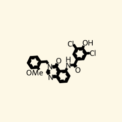 COc1ccccc1Cn1cnc2cccc(NC(=O)c3cc(Cl)c(O)c(Cl)c3)c2c1=O